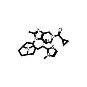 Cc1nc2c(n1C1CCC3CCC(C1)N3CC[C@H](N)C1SC=CN1C)CCN(C(=O)C1CC1)C2